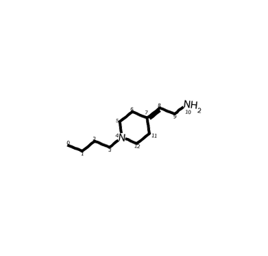 CCCCN1CCC(=CCN)CC1